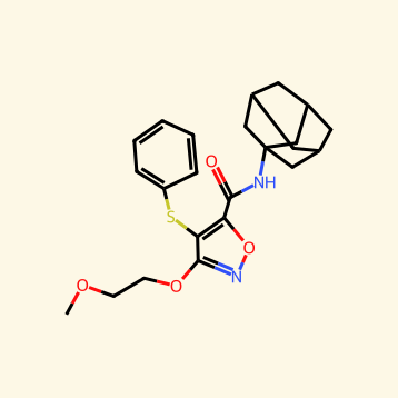 COCCOc1noc(C(=O)NC23CC4CC(CC(C4)C2)C3)c1Sc1ccccc1